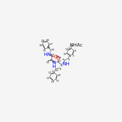 CC(=O)Nc1ccc(CCN[C@H](CCc2ccccc2)C(=O)N[C@@H](C)C(=O)NCc2cc[c]cc2)cc1